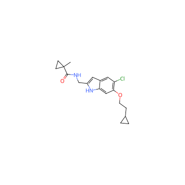 CC1(C(=O)NCc2cc3cc(Cl)c(OCCC4CC4)cc3[nH]2)CC1